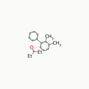 CCC(=O)CC.Cc1cccc(-c2ccccc2)c1C